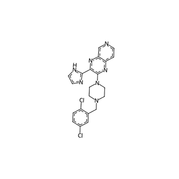 Clc1ccc(Cl)c(CN2CCN(c3nc4ccncc4nc3-c3ncc[nH]3)CC2)c1